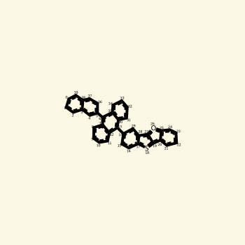 c1ccc2cc(-c3c4ccccc4c(-c4ccc5sc6c7ccccc7oc6c5c4)c4ccccc34)ccc2c1